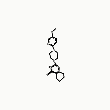 COc1ccc(N2CCN(c3nc4c(c(=O)[nH]3)CCCC4)CC2)nc1